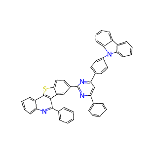 c1ccc(-c2cc(-c3ccc(-n4c5ccccc5c5ccccc54)cc3)nc(-c3ccc4sc5c6ccccc6nc(-c6ccccc6)c5c4c3)n2)cc1